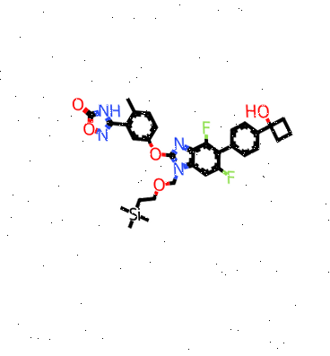 Cc1ccc(Oc2nc3c(F)c(-c4ccc(C5(O)CCC5)cc4)c(F)cc3n2COCC[Si](C)(C)C)cc1-c1noc(=O)[nH]1